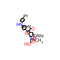 CNC(=O)c1c(-c2ccc(Nc3ccc(C(C)C)cc3)cc2)oc2cc(N(CCO)S(C)(=O)=O)c(OC)cc12